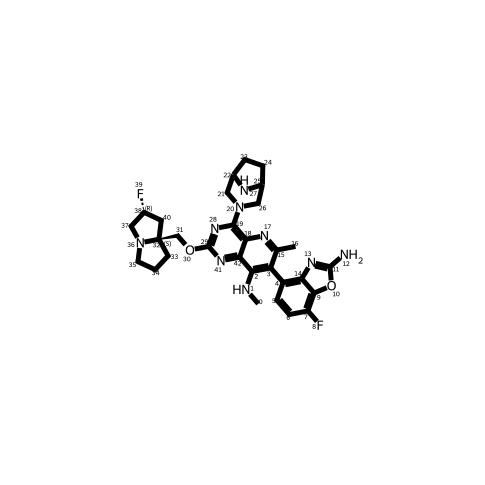 CNc1c(-c2ccc(F)c3oc(N)nc23)c(C)nc2c(N3CC4CCC(C3)N4)nc(OC[C@@]34CCCN3C[C@H](F)C4)nc12